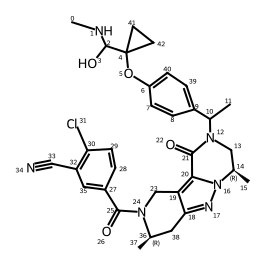 CNC(O)C1(Oc2ccc(C(C)N3C[C@@H](C)n4nc5c(c4C3=O)CN(C(=O)c3ccc(Cl)c(C#N)c3)[C@H](C)C5)cc2)CC1